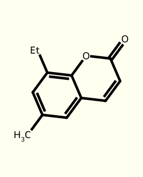 CCc1cc(C)cc2ccc(=O)oc12